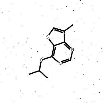 Cc1csc2c(OC(C)C)ncnc12